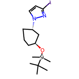 CC(C)(C)[Si](C)(C)O[C@H]1CCC[C@H](n2ccc(I)n2)C1